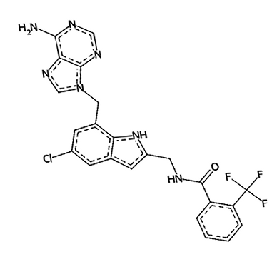 Nc1ncnc2c1ncn2Cc1cc(Cl)cc2cc(CNC(=O)c3ccccc3C(F)(F)F)[nH]c12